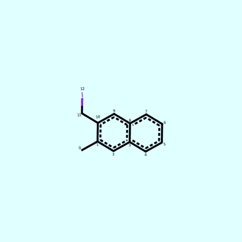 Cc1cc2ccccc2cc1CI